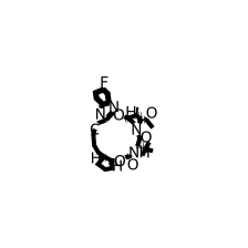 CC(=O)[C@@H]1[C@H](C)[C@@H]2CN1C(=O)[C@H](C(C)(C)C)NC(=O)O[C@@H]1CCC[C@H]1CCCCCc1nc3ccc(F)cc3nc1O2